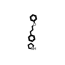 C1CCNC1.c1ccc(CCCOc2ccccc2)cc1